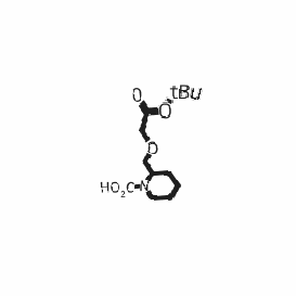 CC(C)(C)OC(=O)COCC1CCCCN1C(=O)O